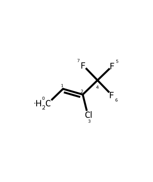 [CH2]C=C(Cl)C(F)(F)F